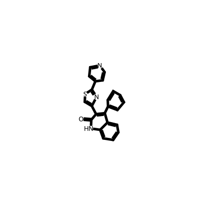 O=c1[nH]c2ccccc2c(-c2ccccc2)c1-c1csc(-c2ccncc2)n1